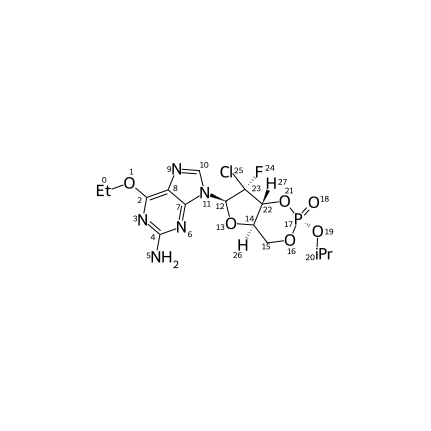 CCOc1nc(N)nc2c1ncn2[C@@H]1O[C@@H]2CO[P@@](=O)(OC(C)C)O[C@H]2[C@]1(F)Cl